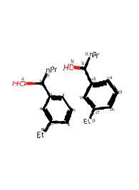 CCCC(O)c1cccc(CC)c1.CCCC(O)c1cccc(CC)c1